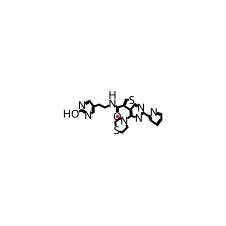 O=C(NCCc1cnc(O)nc1)c1csc2nc(-c3ccccn3)nc(N3CCSCC3)c12